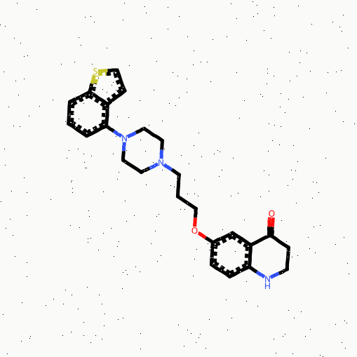 O=C1CCNc2ccc(OCCCN3CCN(c4cccc5sccc45)CC3)cc21